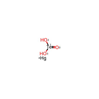 O=[Te](O)O.[Hg]